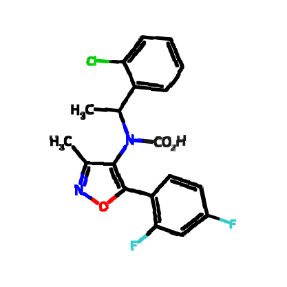 Cc1noc(-c2ccc(F)cc2F)c1N(C(=O)O)C(C)c1ccccc1Cl